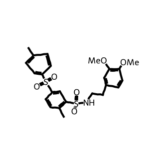 COc1ccc(CCNS(=O)(=O)c2cc(S(=O)(=O)c3ccc(C)cc3)ccc2C)cc1OC